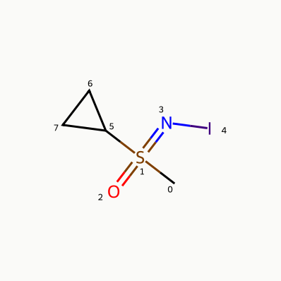 CS(=O)(=NI)C1CC1